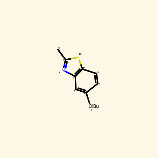 Cc1nc2cc(OCC(C)C)ccc2s1